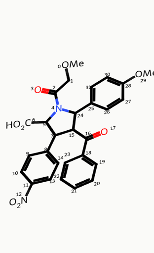 COCC(=O)N1C(C(=O)O)C(c2ccc([N+](=O)[O-])cc2)C(C(=O)c2ccccc2)C1c1ccc(OC)cc1